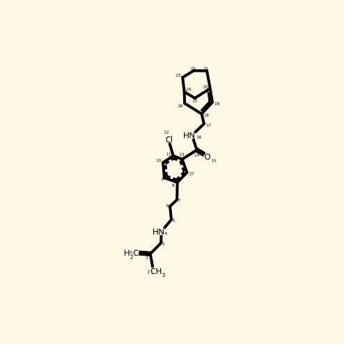 C=C(C)CNCCCc1ccc(Cl)c(C(=O)NCC2=C=C3CCCC(C3)C2)c1